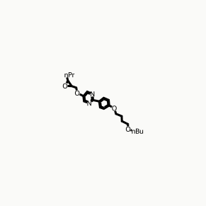 CCCCOCCCCOc1ccc(-c2ncc(OCC3OC3CCC)cn2)cc1